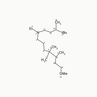 CCN(CCCC(C)(C)C(C)CCOC)CCC(C)C(C)(C)C